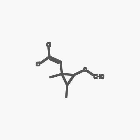 CC1C(OC=O)C1(C)C=C(Cl)Cl